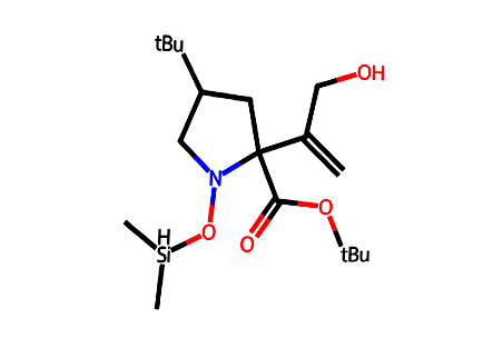 C=C(CO)C1(C(=O)OC(C)(C)C)CC(C(C)(C)C)CN1O[SiH](C)C